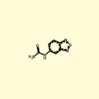 NC(=O)Nc1ccc2nonc2c1